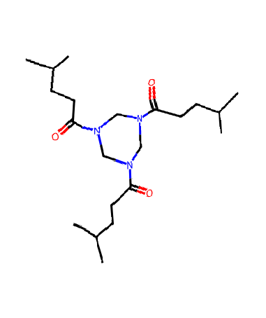 CC(C)CCC(=O)N1CN(C(=O)CCC(C)C)CN(C(=O)CCC(C)C)C1